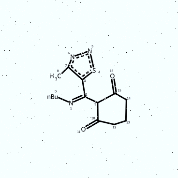 CCCCN=C(c1snnc1C)C1C(=O)CCCC1=O